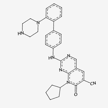 N#Cc1cc2cnc(Nc3ccc(-c4ccccc4N4CCNCC4)cc3)nc2n(C2CCCC2)c1=O